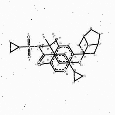 O=C(NS(=O)(=O)C1CC1)c1cc(C2CC2)c(CN2C3CCC2CC(Oc2cc(C(F)(F)F)c(Cl)cn2)C3)cc1F